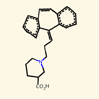 O=C(O)C1CCCN(CCC=C2c3ccccc3C=Cc3ccccc32)C1